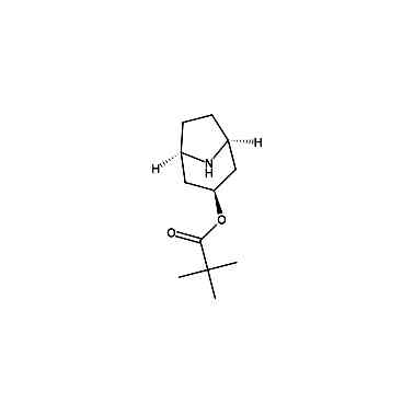 CC(C)(C)C(=O)O[C@H]1C[C@H]2CC[C@@H](C1)N2